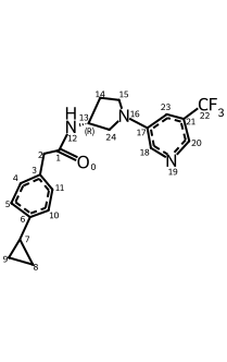 O=C(Cc1ccc(C2CC2)cc1)N[C@@H]1CCN(c2cncc(C(F)(F)F)c2)C1